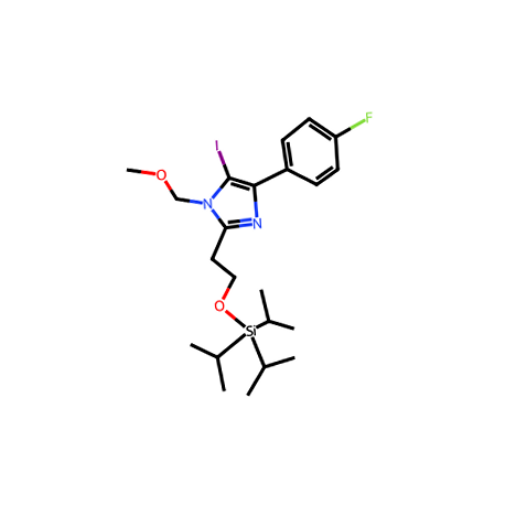 COCn1c(CCO[Si](C(C)C)(C(C)C)C(C)C)nc(-c2ccc(F)cc2)c1I